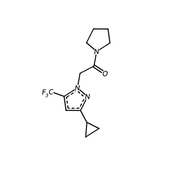 O=C(Cn1nc(C2CC2)cc1C(F)(F)F)N1CCCC1